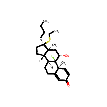 CCCC[C@@]1(SCC)CC[C@H]2[C@@H]3CCC4=CC(=O)C=C[C@]4(C)[C@@]3(F)[C@@H](O)C[C@@]21C